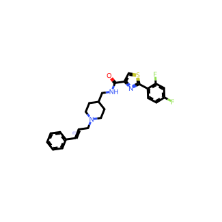 O=C(NCC1CCN(C/C=C/c2ccccc2)CC1)c1csc(-c2ccc(F)cc2F)n1